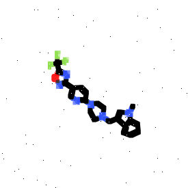 Cn1cc(CN2CCN(c3ccc(-c4noc(C(F)(F)F)n4)cn3)CC2)c2ccccc21